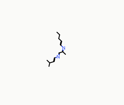 CCC/C=C/N=C(C)\C=N\C=C\C(C)C